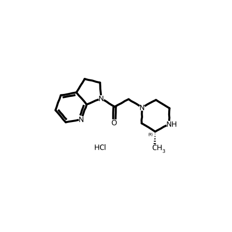 C[C@@H]1CN(CC(=O)N2CCc3cccnc32)CCN1.Cl